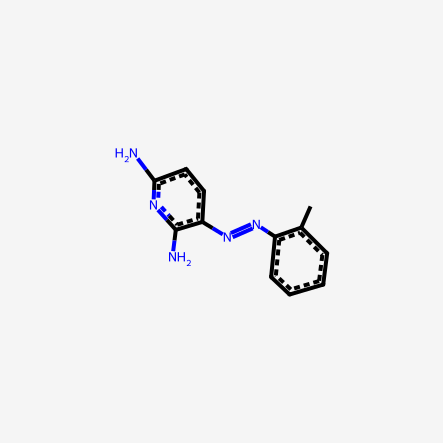 Cc1ccccc1N=Nc1ccc(N)nc1N